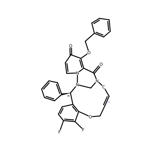 O=C1c2c(OCc3ccccc3)c(=O)ccn2N2CN1C/C=C\COc1c(ccc(F)c1F)[C@H]2c1ccccc1